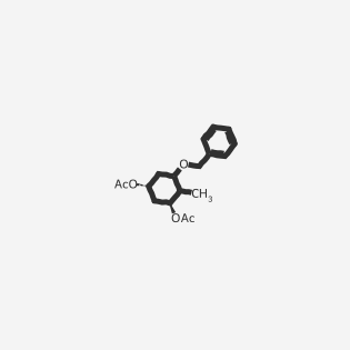 CC(=O)O[C@@H]1CC(OCc2ccccc2)C(C)[C@@H](OC(C)=O)C1